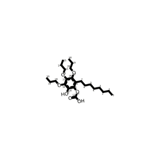 CCCCCCCCc1c(OC(=O)O)c(O)c(OCCC)c(OCCC)c1OCCC